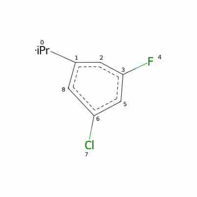 C[C](C)c1cc(F)cc(Cl)c1